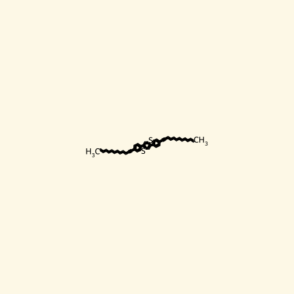 CCCCCCCCCCCC#Cc1ccc2c(c1)sc1cc3c(cc12)sc1cc(C#CCCCCCCCCCCC)ccc13